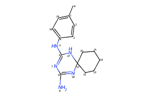 Cc1ccc(NC2=NC(N)=NC3(CCCCC3)N2)cc1